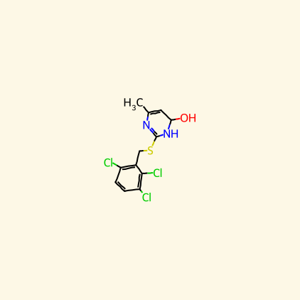 CC1=CC(O)NC(SCc2c(Cl)ccc(Cl)c2Cl)=N1